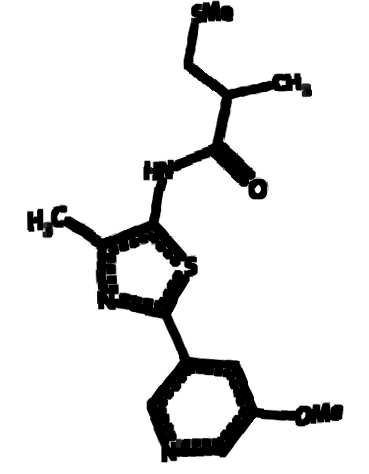 COc1cncc(-c2nc(C)c(NC(=O)C(C)CSC)s2)c1